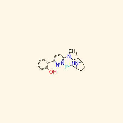 CN(c1ccc(-c2ccccc2O)nn1)[C@H]1CC2CCC(N2)[C@H]1F